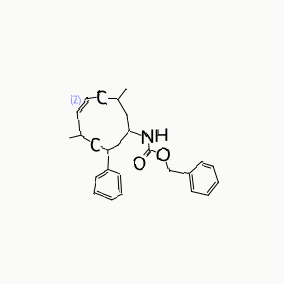 CC1/C=C\CC(C)CC(NC(=O)OCc2ccccc2)CC(c2ccccc2)C1